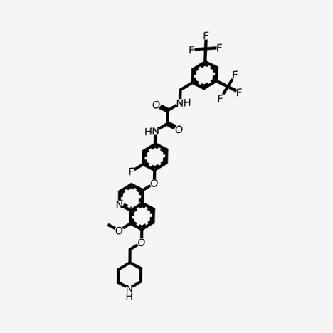 COc1c(OCC2CCNCC2)ccc2c(Oc3ccc(NC(=O)C(=O)NCc4cc(C(F)(F)F)cc(C(F)(F)F)c4)cc3F)ccnc12